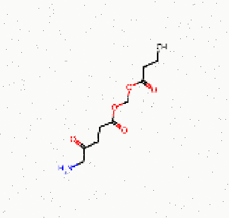 CCCC(=O)OCOC(=O)CCC(=O)CN